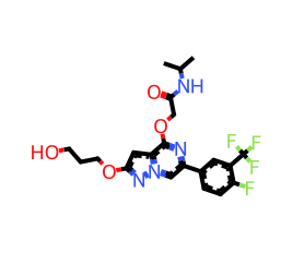 CC(C)NC(=O)COc1nc(-c2ccc(F)c(C(F)(F)F)c2)cn2nc(OCCCO)cc12